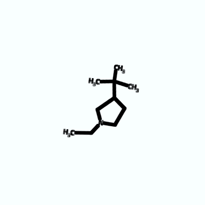 CCN1CCC(C(C)(C)C)C1